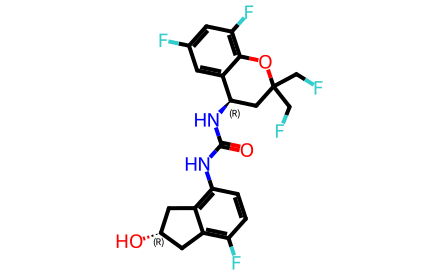 O=C(Nc1ccc(F)c2c1C[C@@H](O)C2)N[C@@H]1CC(CF)(CF)Oc2c(F)cc(F)cc21